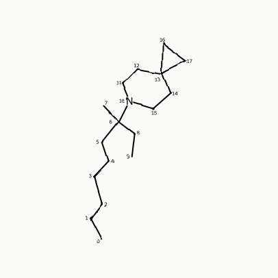 CCCCCCC(C)(CC)N1CCC2(CC1)CC2